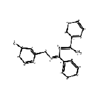 N/C(=N\C(=N/CC1=CC(Cl)CC=C1)C1=CCCC=C1)C1=CC=CCC1